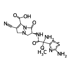 COC(N)(C(=O)N[C@H]1CN2CC(C#N)=C(C(=O)O)N2C1=O)c1csc(N)n1